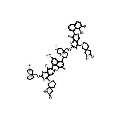 CCc1c(F)ccc2cccc(-c3ncc4c(N5CCCC6(CNC(=O)C6)C5)nc(OC[C@@]56CCC(c7cc(F)c(CC)c8c(-c9ncc%10c(N%11CCCC%12(CNC(=O)C%12)C%11)nc(OC[C@@]%11%12CCCN%11C[C@H](F)C%12)nc%10c9F)cc(O)cc78)N5C[C@H](F)C6)nc4c3F)c12